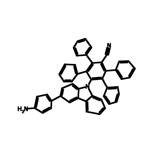 N#Cc1c(-c2ccccc2)c(-c2ccccc2)c(-n2c3ccccc3c3cc(-c4ccc(N)cc4)ccc32)c(-c2ccccc2)c1-c1ccccc1